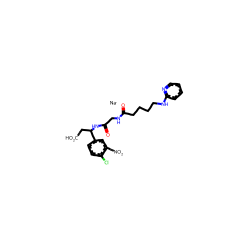 O=C(O)CC(NC(=O)CNC(=O)CCCCNc1ccccn1)c1ccc(Cl)c([N+](=O)[O-])c1.[Na]